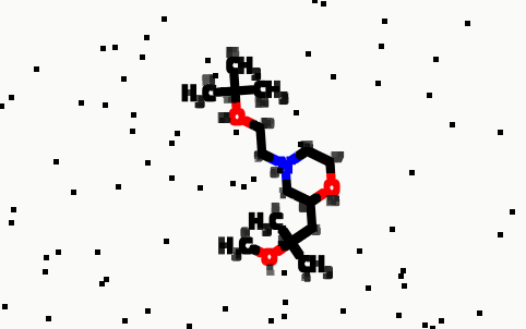 COC(C)(C)CC1CN(CCOC(C)(C)C)CCO1